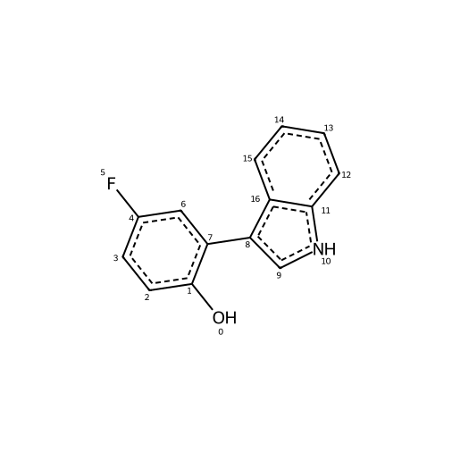 Oc1ccc(F)cc1-c1c[nH]c2ccccc12